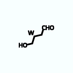 O=CCCCO.[W]